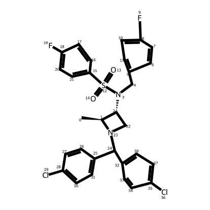 C[C@H]1[C@H](N(Cc2ccc(F)cc2)S(=O)(=O)c2ccc(F)cc2)CN1C(c1ccc(Cl)cc1)c1ccc(Cl)cc1